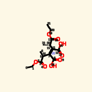 CCOC(=O)[C@@H](C)/C(C(=O)O)=C(/C(=O)O)[C@H](C)C(=O)OCC